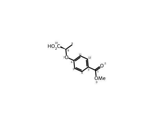 COC(=O)c1ccc(O[C@H](C)C(=O)O)cc1